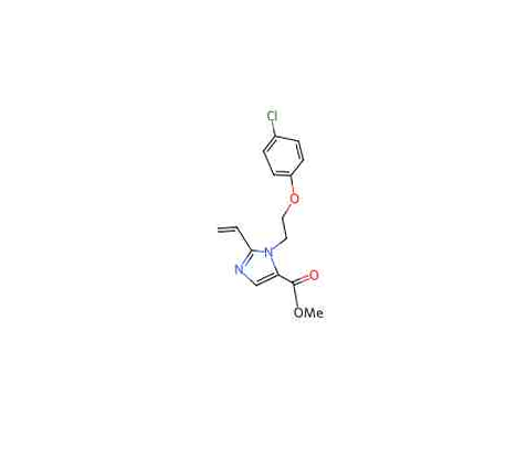 C=Cc1ncc(C(=O)OC)n1CCOc1ccc(Cl)cc1